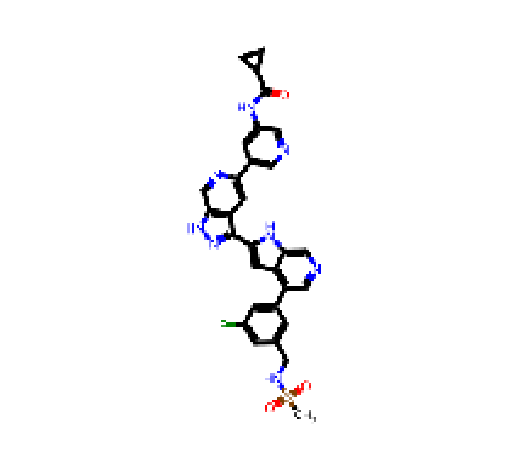 CS(=O)(=O)NCc1cc(F)cc(-c2cncc3[nH]c(-c4n[nH]c5cnc(-c6cncc(NC(=O)C7CC7)c6)cc45)cc23)c1